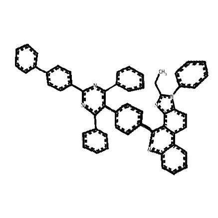 CCc1nc2c3c(-c4ccc(-c5c(-c6ccccc6)nc(-c6ccc(-c7ccccc7)cc6)nc5-c5ccccc5)cc4)nc4ccccc4c3ccc2n1-c1ccccc1